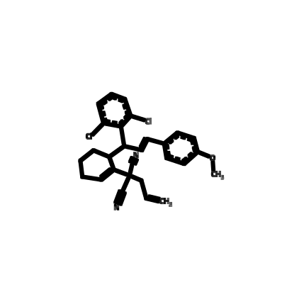 C=CCC(C#N)(C#N)C1=CCCCC1C(C=Cc1ccc(OC)cc1)c1c(Cl)cccc1Cl